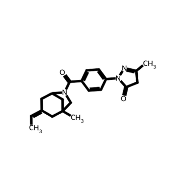 C/C=C1/CC2CC(C)(C1)CN2C(=O)c1ccc(N2N=C(C)CC2=O)cc1